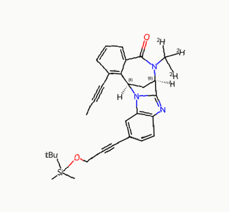 [2H]C([2H])([2H])N1C(=O)c2cccc(C#CC)c2[C@H]2C[C@@H]1c1nc3ccc(C#CCO[Si](C)(C)C(C)(C)C)cc3n12